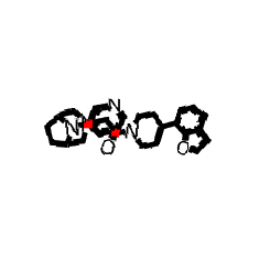 O=C(CN1CC2CCC(C1)N2c1cccnc1)N1CC=C(c2cccc3ccoc23)CC1